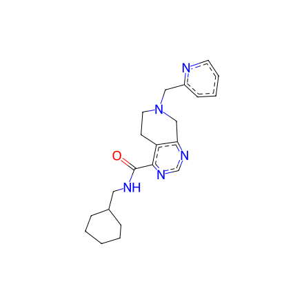 O=C(NCC1CCCCC1)c1ncnc2c1CCN(Cc1ccccn1)C2